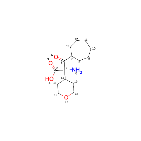 NC(C(=O)O)(C(=O)C1CCCCCC1)C1CCOCC1